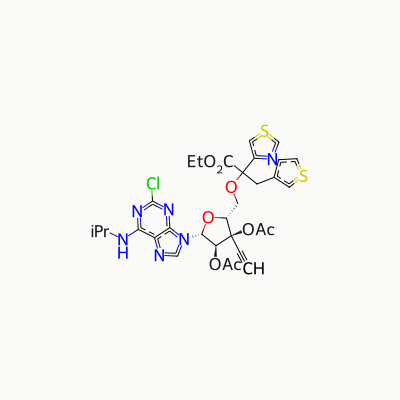 C#C[C@@]1(OC(C)=O)[C@@H](COC(Cc2ccsc2)(C(=O)OCC)c2cscn2)O[C@@H](n2cnc3c(NC(C)C)nc(Cl)nc32)[C@@H]1OC(C)=O